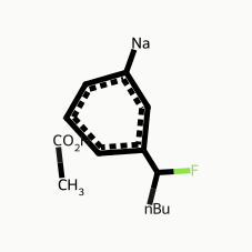 CC(=O)O.CCCCC(F)c1ccc[c]([Na])c1